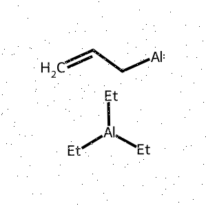 C=C[CH2][Al].C[CH2][Al]([CH2]C)[CH2]C